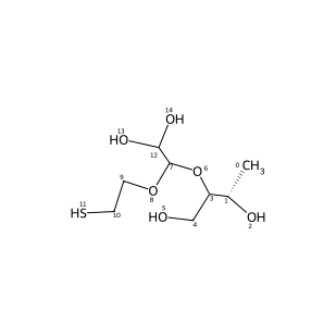 C[C@H](O)C(CO)OC(OCCS)C(O)O